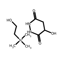 C[N+](C)(C)CCO.O=C1CC(O)C(=O)NN1